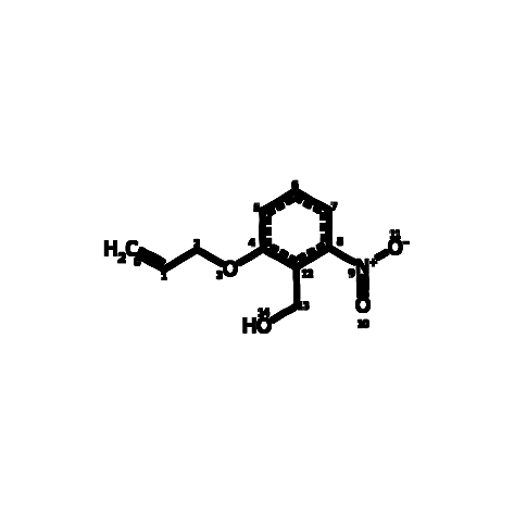 C=CCOc1cccc([N+](=O)[O-])c1CO